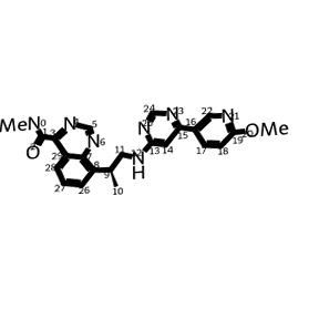 CNC(=O)c1ncnc2c([C@H](C)CNc3cc(-c4ccc(OC)nc4)ncn3)cccc12